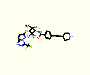 CC1(C)[C@H](NC(=O)c2ccc(C#CC3CCNCC3)cc2)C(C)(C)[C@H]1Oc1ccc2nnc(C(F)(F)F)n2n1